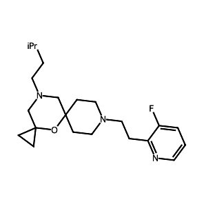 CC(C)CCN1CC2(CCN(CCc3ncccc3F)CC2)OC2(CC2)C1